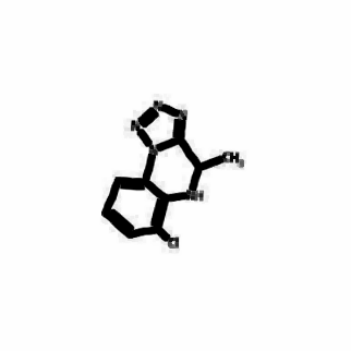 CC1Nc2c(Cl)cccc2-n2nnnc21